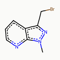 Cn1nc(CBr)c2cccnc21